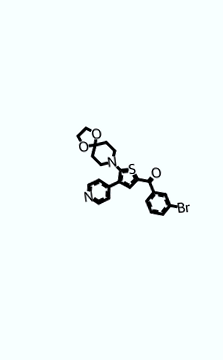 O=C(c1cccc(Br)c1)c1cc(-c2ccncc2)c(N2CCC3(CC2)OCCO3)s1